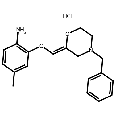 Cc1ccc(N)c(OC=C2CN(Cc3ccccc3)CCO2)c1.Cl